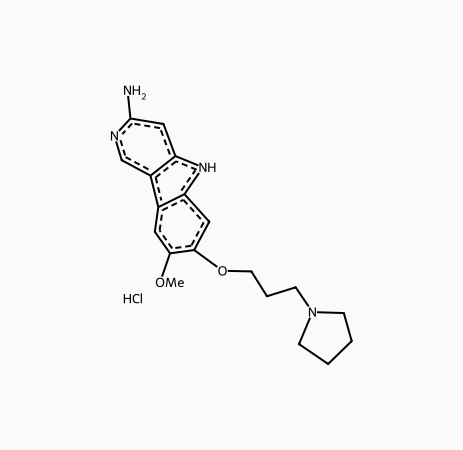 COc1cc2c(cc1OCCCN1CCCC1)[nH]c1cc(N)ncc12.Cl